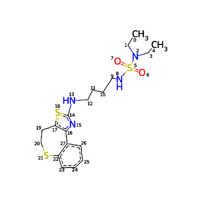 CCN(CC)S(=O)(=O)NCCCCNc1nc2c(s1)CCSc1ccccc1-2